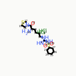 Cl.Cl.N=C(NCCCC[C@H](N)C(=O)N1CCSC1)NS(=O)(=O)C1CCCCC1